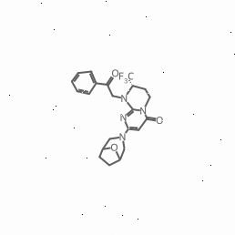 O=C(CN1c2nc(N3CC4CCC(C3)O4)cc(=O)n2CC[C@H]1C(F)(F)F)c1ccccc1